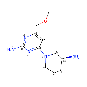 COCc1cc(N2CCC[C@H](N)C2)nc(N)n1